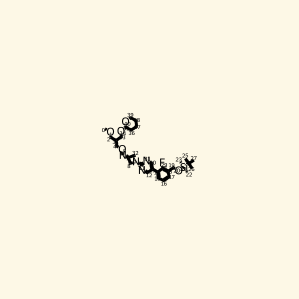 COCC(CON=C1CN(c2ncc(-c3cccc(CO[Si](C)(C)C(C)(C)C)c3F)cn2)C1)COC1CCCCO1